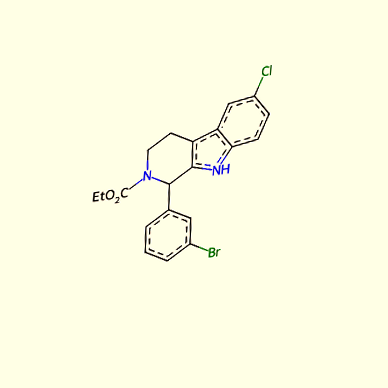 CCOC(=O)N1CCc2c([nH]c3ccc(Cl)cc23)C1c1cccc(Br)c1